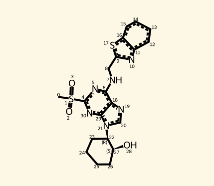 CS(=O)(=O)c1nc(NCc2nc3ccccc3s2)c2ncn([C@@H]3CCCC[C@@H]3O)c2n1